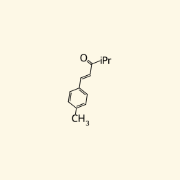 Cc1ccc(/C=C/C(=O)C(C)C)cc1